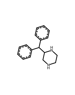 c1ccc(C(c2ccccc2)C2CNCCN2)cc1